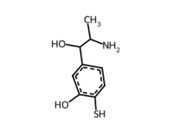 CC(N)C(O)c1ccc(S)c(O)c1